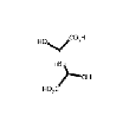 CCCCC(O)C(=O)O.O=C(O)CO